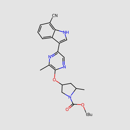 Cc1nc(-c2c[nH]c3c(C#N)cccc23)cnc1OC1CC(C)N(C(=O)OC(C)(C)C)C1